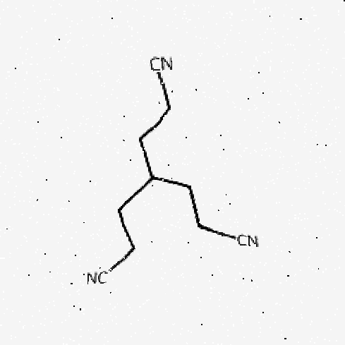 N#CCCC(CCC#N)CCC#N